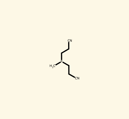 CP(CCC#N)CCC#N